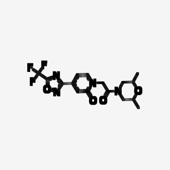 CC1CN(C(=O)Cn2ccc(-c3noc(C(F)(F)F)n3)cc2=O)CC(C)O1